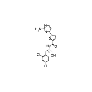 Nc1nccc(-c2ccc(C(=O)N[C@H](CO)Cc3ccc(Cl)cc3Cl)s2)n1